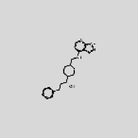 O[C@H](CCc1ccccc1)C1CCC(CNc2ncnc3[nH]ncc23)CC1